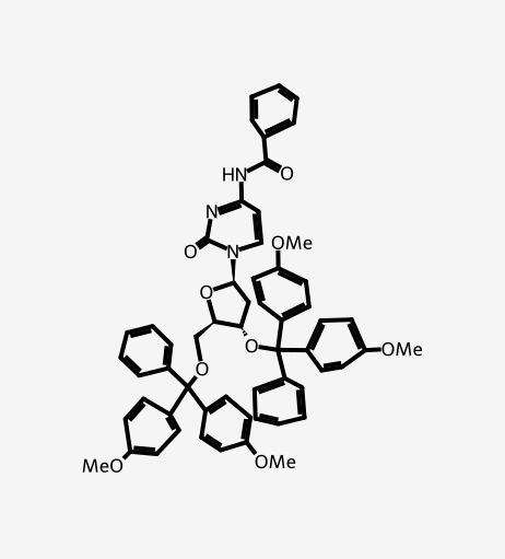 COc1ccc(C(OC[C@H]2O[C@@H](n3ccc(NC(=O)c4ccccc4)nc3=O)C[C@@H]2OC(c2ccccc2)(c2ccc(OC)cc2)c2ccc(OC)cc2)(c2ccccc2)c2ccc(OC)cc2)cc1